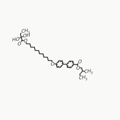 CCC(C)COC(=O)c1ccc(-c2ccc(OCCCCCCCCCCCCOC(=O)C(O)(O)CC)cc2)cc1